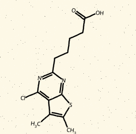 Cc1sc2nc(CCCCC(=O)O)nc(Cl)c2c1C